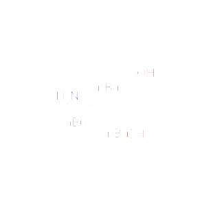 CCCCC(CCO)C(N)(CCCC)CCCC.O